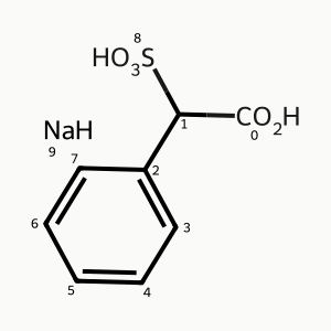 O=C(O)C(c1ccccc1)S(=O)(=O)O.[NaH]